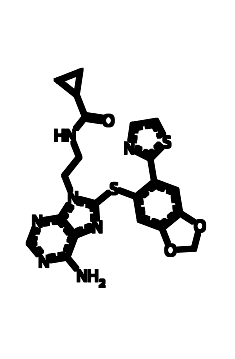 Nc1ncnc2c1nc(Sc1cc3c(cc1-c1nccs1)OCO3)n2CCNC(=O)C1CC1